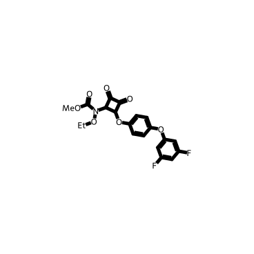 CCON(C(=O)OC)C1C(=O)C(=O)C1Oc1ccc(Oc2cc(F)cc(F)c2)cc1